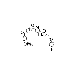 COc1ccc(C(=O)C2CCN(C(=O)c3ccc(C(=O)N[C@H]4CC[C@@H](Oc5ccc(F)cc5)CC4)cn3)CC2)cc1